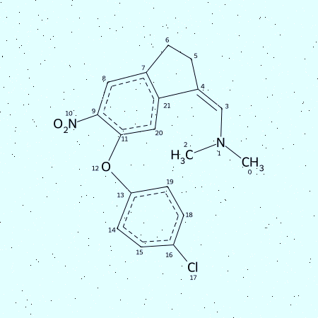 CN(C)/C=C1/CCc2cc([N+](=O)[O-])c(Oc3ccc(Cl)cc3)cc21